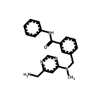 CN(Cc1cccc(C(=O)Nc2ccccc2)c1)c1cc(CN)ncn1